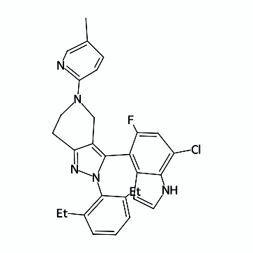 CCc1cccc(CC)c1-n1nc2c(c1-c1c(F)cc(Cl)c3[nH]ccc13)CN(c1ccc(C)cn1)CC2